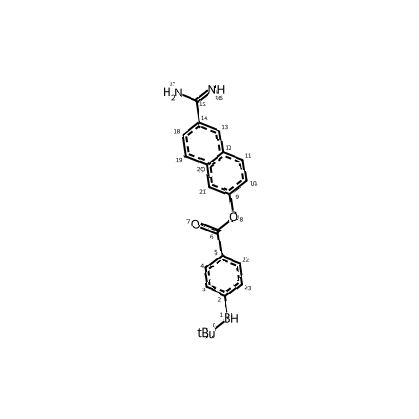 CC(C)(C)Bc1ccc(C(=O)Oc2ccc3cc(C(=N)N)ccc3c2)cc1